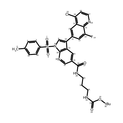 Cc1ccc(S(=O)(=O)n2cc(-c3cc(F)c4nccc(Cl)c4c3)c3cc(C(=O)NCCCNC(=O)OC(C)(C)C)cnc32)cc1